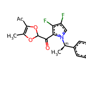 CC(=O)C1=C(C)OC(C(=O)c2c(F)c(F)cn2[C@H](C)c2ccccc2)O1